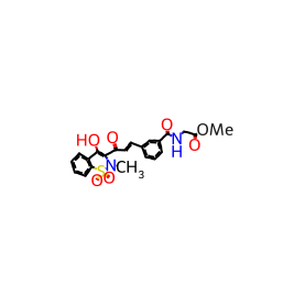 COC(=O)CNC(=O)c1cccc(C=CC(=O)C2=C(O)c3ccccc3S(=O)(=O)N2C)c1